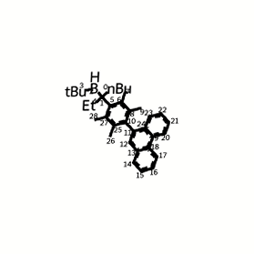 CCCCC(BC(C)(C)C)(CC)c1c(C)c(C)c(-c2cc3ccccc3c3ccccc23)c(C)c1C